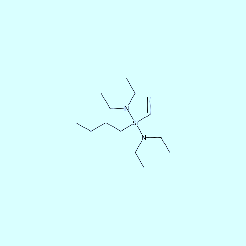 C=C[Si](CCCC)(N(CC)CC)N(CC)CC